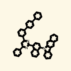 c1ccc(-c2ccc(-c3cccc(-c4cc(-c5ccccc5)nc(-c5ccc(-n6c7ccccc7c7cc8ccccc8cc76)c6ccccc56)n4)c3)cc2)cc1